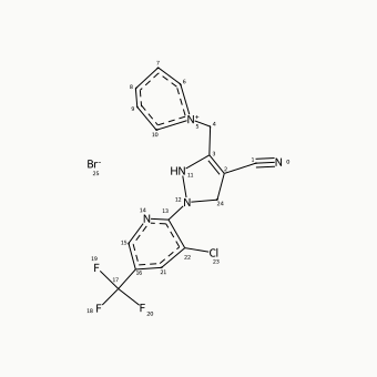 N#CC1=C(C[n+]2ccccc2)NN(c2ncc(C(F)(F)F)cc2Cl)C1.[Br-]